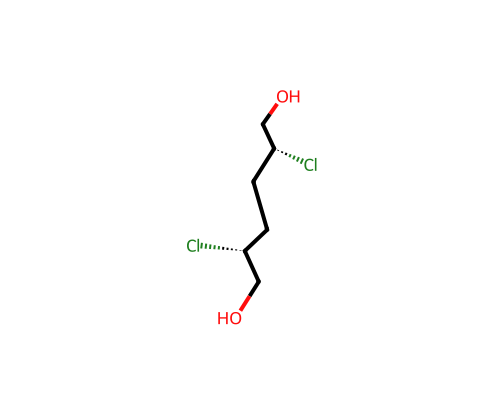 OC[C@H](Cl)CC[C@@H](Cl)CO